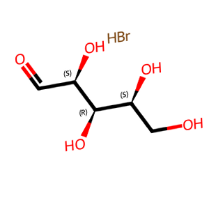 Br.O=C[C@@H](O)[C@H](O)[C@@H](O)CO